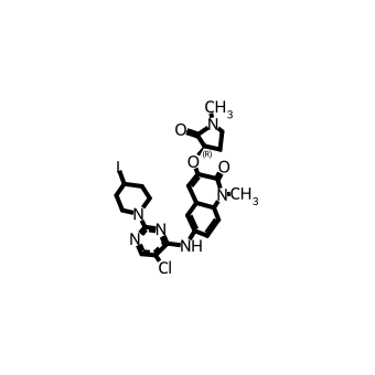 CN1CC[C@@H](OC2=CC3C=C(Nc4nc(N5CCC(I)CC5)ncc4Cl)C=CC3N(C)C2=O)C1=O